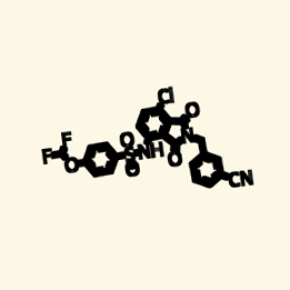 N#Cc1cccc(CN2C(=O)c3c(Cl)ccc(NS(=O)(=O)c4ccc(OC(F)F)cc4)c3C2=O)c1